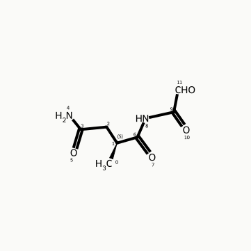 C[C@@H](CC(N)=O)C(=O)NC(=O)C=O